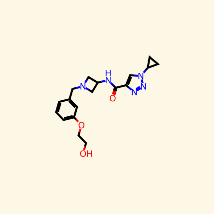 O=C(NC1CN(Cc2cccc(OCCO)c2)C1)c1cn(C2CC2)nn1